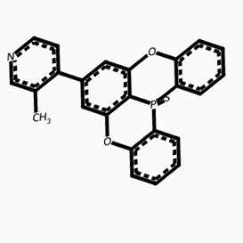 Cc1cnccc1-c1cc2c3c(c1)Oc1ccccc1P3(=S)c1ccccc1O2